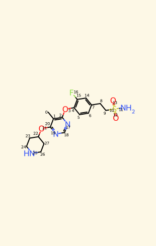 Cc1c(Oc2ccc(CCS(N)(=O)=O)cc2F)ncnc1OC1CCNCC1